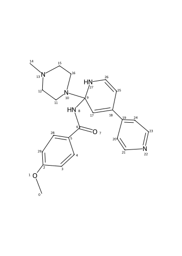 COc1ccc(C(=O)NC2(N3CCN(C)CC3)C=C(c3ccncc3)C=CN2)cc1